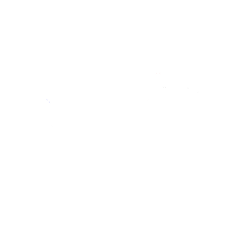 C=CC(=O)OCCCCCc1nc2ccccc2s1